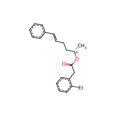 CCc1ccccc1CC(=O)O[C@@H](C)CC/C=C/c1ccccc1